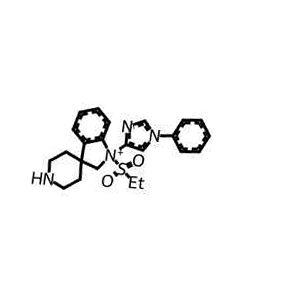 CCS(=O)(=O)[N+]1(c2cn(-c3ccccc3)cn2)CC2(CCNCC2)c2ccccc21